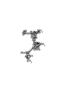 C=C1CC2CNc3cc(OCCCCCOc4cc5c(cc4OC)C(=O)N4CC(=C)C[C@H]4[C@H](O)N5C(=O)OCc4ccc(NC(=O)[C@H](CCCNC(N)=O)NC(=O)[C@@H](NC(=O)CCCCCN5C(=O)C=CC5=O)C(C)C)cc4)c(OC)cc3C(=O)N2C1